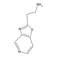 NCCc1nc2cnccc2o1